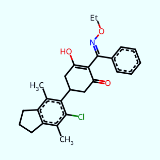 CCON=C(C1=C(O)CC(c2c(C)c3c(c(C)c2Cl)CCC3)CC1=O)c1ccccc1